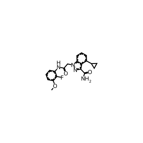 COc1cccc(NC(=O)Cn2nc(C(N)=O)c3c(C4CC4)cccc32)c1F